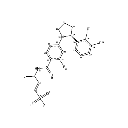 C[C@H](/C=C/S(C)(=O)=O)NC(=O)c1ccc(N2CCC[C@H]2c2cccc(F)c2F)cc1F